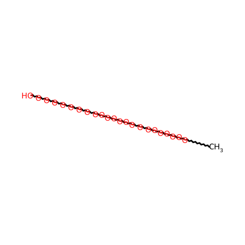 CCCCCCCCCCCCCOCCOCCOCCOCCOCCOCCOCCCOCCCOCCOCCOCCOCCOCCOCCOCCCOCCCOCCCOCCCOCCCOCCCOCCCOCCCO